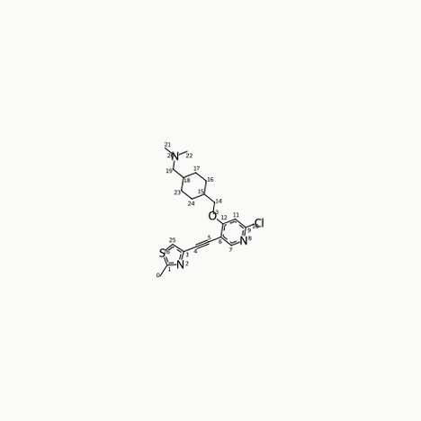 Cc1nc(C#Cc2cnc(Cl)cc2OCC2CCC(CN(C)C)CC2)cs1